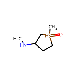 CNC1CC[SH](C)(=O)C1